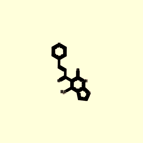 Cc1c(C(=O)/C=C/c2ccncc2)c(=O)[nH]c2sccc12